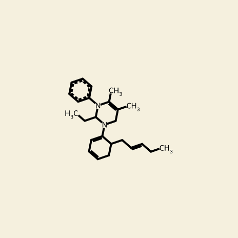 CCC=CCC1CC=CC=C1N1CC(C)=C(C)N(c2ccccc2)C1CC